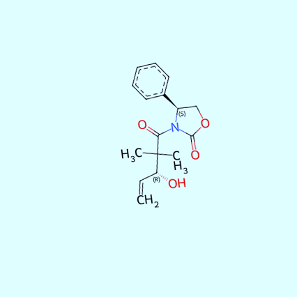 C=C[C@@H](O)C(C)(C)C(=O)N1C(=O)OC[C@@H]1c1ccccc1